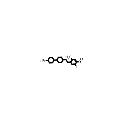 CCCC1CCC(C2CCC(CCc3cc(F)c(OCC)cc3C)CC2)CC1